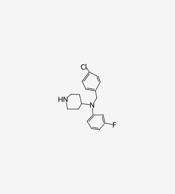 Fc1cccc(N(Cc2ccc(Cl)cc2)C2CCNCC2)c1